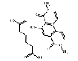 C=Cc1c(C(=O)ON)cc(N)c(C(=O)ON)c1C=C.O=C(O)CCCCC(=O)O